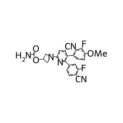 COc1ccc(-c2c(C#N)cc(N3CC(OC(N)=O)C3)nc2-c2ccc(C#N)c(F)c2)cc1F